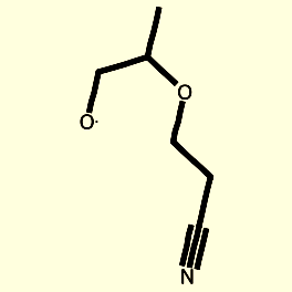 CC(C[O])OCCC#N